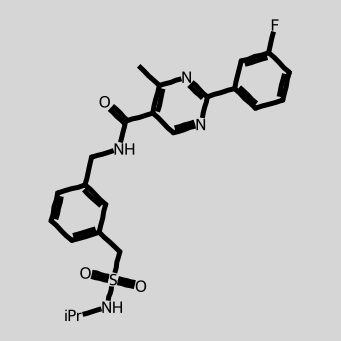 Cc1nc(-c2cccc(F)c2)ncc1C(=O)NCc1cccc(CS(=O)(=O)NC(C)C)c1